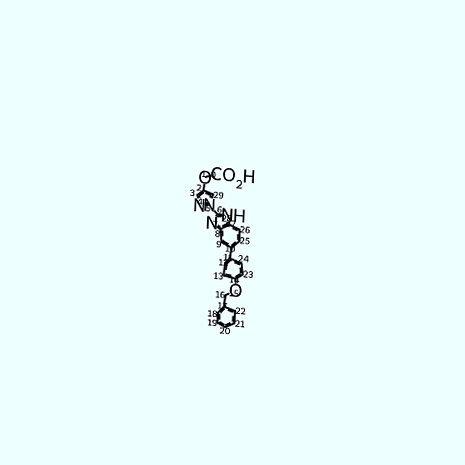 O=C(O)Oc1cnn(-c2nc3cc(-c4ccc(OCc5ccccc5)cc4)ccc3[nH]2)c1